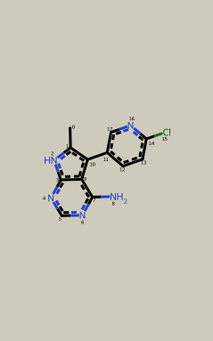 Cc1[nH]c2ncnc(N)c2c1-c1ccc(Cl)nc1